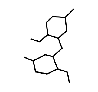 CCC1CCC(C)CC1CC1CC(C)CCC1CC